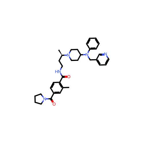 Cc1cc(C(=O)N2CCCC2)ccc1C(=O)NCC[C@@H](C)N1CCC(N(Cc2cccnc2)c2ccccc2)CC1